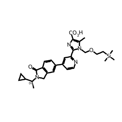 Cc1c(C(=O)O)nc(-c2cc(-c3ccc4c(c3)CN([C@@H](C)C3CC3)C4=O)ccn2)n1COCC[Si](C)(C)C